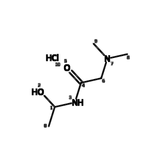 CC(O)NC(=O)CN(C)C.Cl